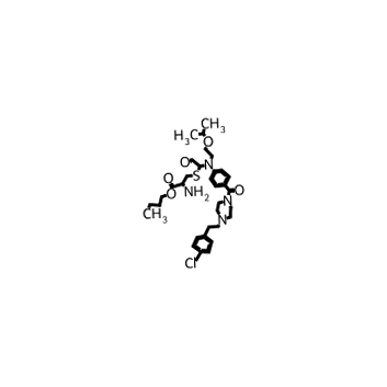 CCCCOC(=O)C(N)CSC(C=O)N(CCOC(C)C)c1ccc(C(=O)N2CCN(CCc3ccc(Cl)cc3)CC2)cc1